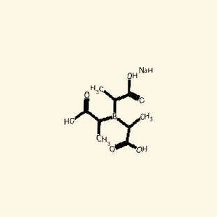 CC(B(C(C)C(=O)O)C(C)C(=O)O)C(=O)O.[NaH]